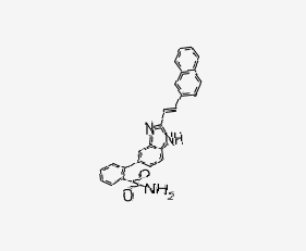 NS(=O)(=O)c1ccccc1-c1ccc2[nH]c(C=Cc3ccc4ccccc4c3)nc2c1